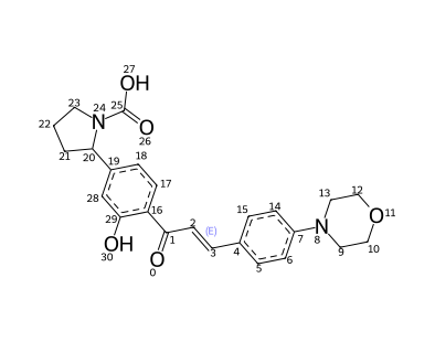 O=C(/C=C/c1ccc(N2CCOCC2)cc1)c1ccc(C2CCCN2C(=O)O)cc1O